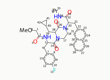 COCC(=O)NC(Cc1ccc(F)cc1)C(=O)N1CCN(C(Cc2ccc3ccccc3c2)C(=O)NC(C)C)C(=O)C1CC1CC1